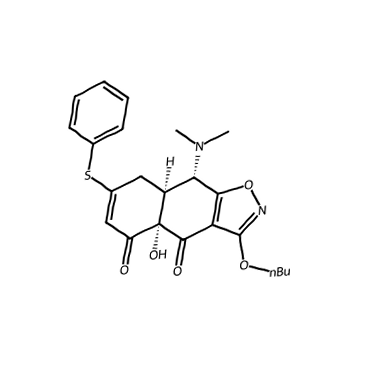 CCCCOc1noc2c1C(=O)[C@@]1(O)C(=O)C=C(Sc3ccccc3)C[C@H]1[C@@H]2N(C)C